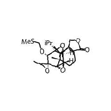 CSCO[C@@H]1[C@@]2(C(C)C)O[C@H]2[C@@H]2O[C@]2([C@@]2(C)CCC3=C(COC3=O)[C@@H]2C)[C@]12OC2C